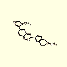 CN1CCc2cc(-c3cc4cc(-c5cncn5C)ccc4cn3)ccc2C1